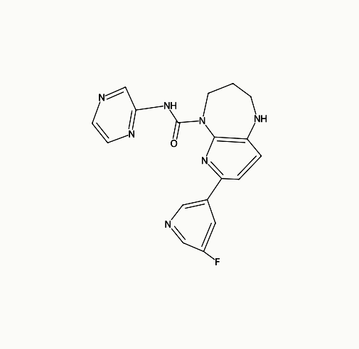 O=C(Nc1cnccn1)N1CCCNc2ccc(-c3cncc(F)c3)nc21